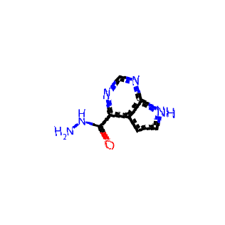 NNC(=O)c1ncnc2[nH]ccc12